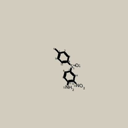 Cc1ccc([S+]([O-])c2ccc(N)c([N+](=O)[O-])c2)cc1